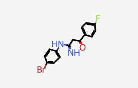 N=C(CC(=O)c1ccc(F)cc1)Nc1ccc(Br)cc1